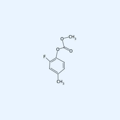 COC(=O)Oc1ccc(C)cc1F